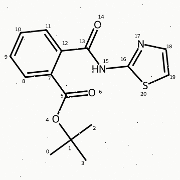 CC(C)(C)OC(=O)c1ccccc1C(=O)Nc1nccs1